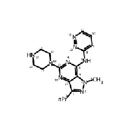 CCCc1nn(C)c2c(Nc3cccnn3)nc(N3CCNCC3)nc12